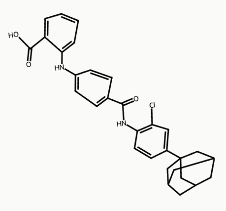 O=C(Nc1ccc(C23CC4CC(CC(C4)C2)C3)cc1Cl)c1ccc(Nc2ccccc2C(=O)O)cc1